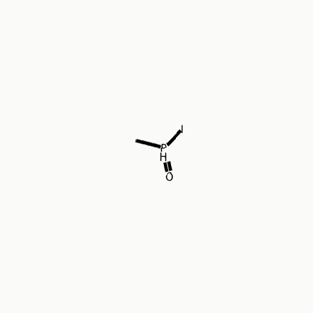 C[PH](=O)I